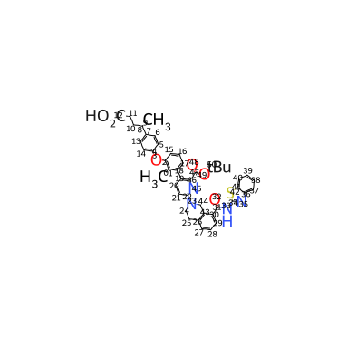 Cc1c(Oc2ccc([C@@H](C)CCC(=O)O)cc2)cccc1-c1ccc(N2CCc3cccc(C(=O)Nc4nc5ccccc5s4)c3C2)nc1C(=O)OC(C)(C)C